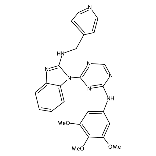 COc1cc(Nc2ncnc(-n3c(NCc4ccncc4)nc4ccccc43)n2)cc(OC)c1OC